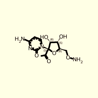 CC(=O)[C@@]1(n2ccc(N)nc2=O)O[C@H](CON)[C@@H](O)[C@H]1O